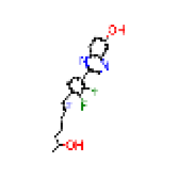 CC(O)CCC/C=C/c1ccc(-c2cnc3cc(O)ccc3n2)c(F)c1F